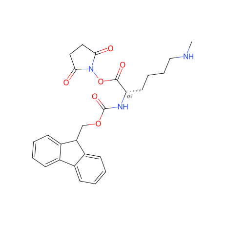 CNCCCC[C@H](NC(=O)OCC1c2ccccc2-c2ccccc21)C(=O)ON1C(=O)CCC1=O